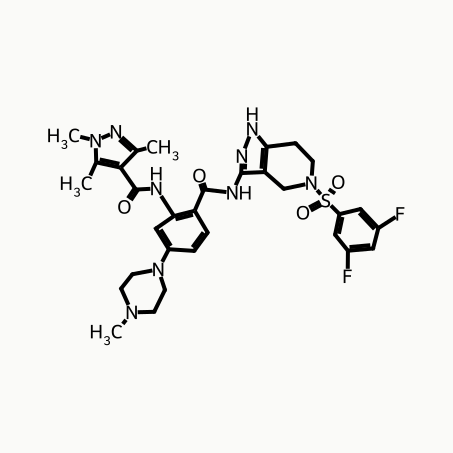 Cc1nn(C)c(C)c1C(=O)Nc1cc(N2CCN(C)CC2)ccc1C(=O)Nc1n[nH]c2c1CN(S(=O)(=O)c1cc(F)cc(F)c1)CC2